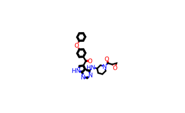 O=C(c1ccc(Oc2ccccc2)cc1)c1c[nH]c2ncnc(NC3CCCN(C(=O)C4CO4)C3)c12